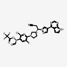 N#CCC([C@H]1CCN(c2nc(Cl)c(N(C=O)OC(=O)C(F)(F)F)cc2F)C1)n1cc(-c2ncnc3[nH]ccc23)cn1